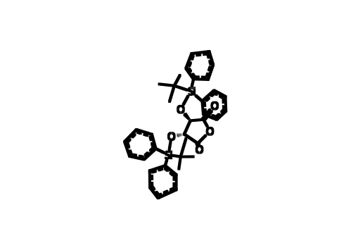 CC(C)(C)[Si](O[C@H]1C(=O)OC(=O)[C@@H]1O[Si](c1ccccc1)(c1ccccc1)C(C)(C)C)(c1ccccc1)c1ccccc1